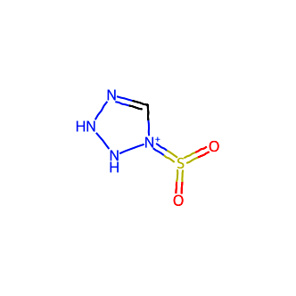 O=S(=O)=[n+]1cn[nH][nH]1